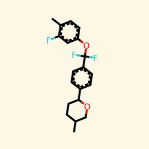 Cc1ccc(OC(F)(F)c2ccc(C3CCC(C)CO3)cc2)cc1F